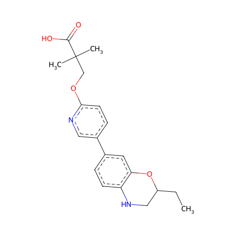 CCC1CNc2ccc(-c3ccc(OCC(C)(C)C(=O)O)nc3)cc2O1